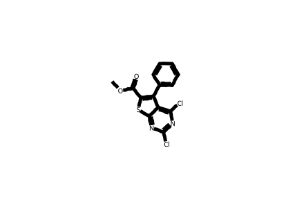 COC(=O)c1sc2nc(Cl)nc(Cl)c2c1-c1ccccc1